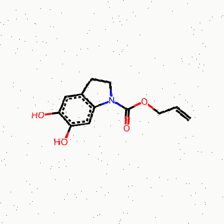 C=CCOC(=O)N1CCc2cc(O)c(O)cc21